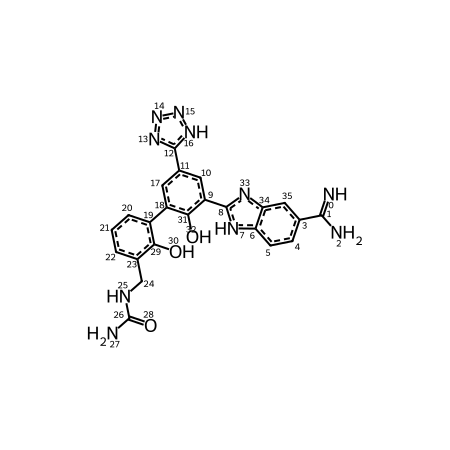 N=C(N)c1ccc2[nH]c(-c3cc(-c4nnn[nH]4)cc(-c4cccc(CNC(N)=O)c4O)c3O)nc2c1